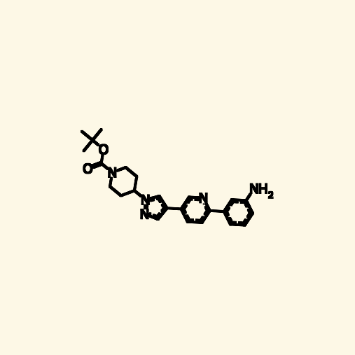 CC(C)(C)OC(=O)N1CCC(n2cc(-c3ccc(-c4cccc(N)c4)nc3)cn2)CC1